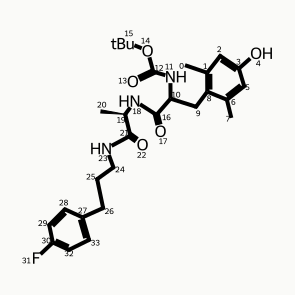 Cc1cc(O)cc(C)c1CC(NC(=O)OC(C)(C)C)C(=O)N[C@H](C)C(=O)NCCCc1ccc(F)cc1